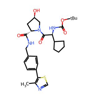 Cc1ncsc1-c1ccc(CNC(=O)[C@@H]2C[C@@H](O)CN2C(=O)[C@@H](NC(=O)OC(C)(C)C)C2CCCC2)cc1